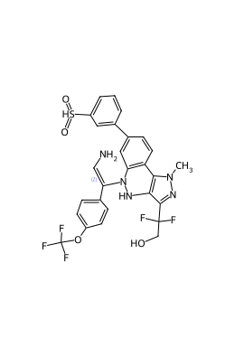 Cn1nc(C(F)(F)CO)c2c1-c1ccc(-c3cccc([SH](=O)=O)c3)cc1N(/C(=C\N)c1ccc(OC(F)(F)F)cc1)N2